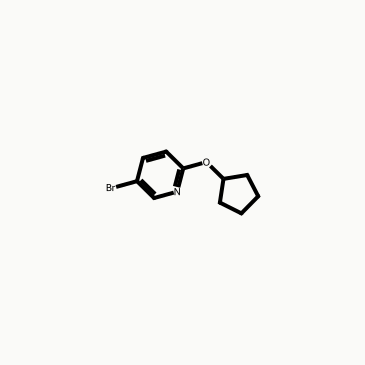 Brc1ccc(OC2CCCC2)nc1